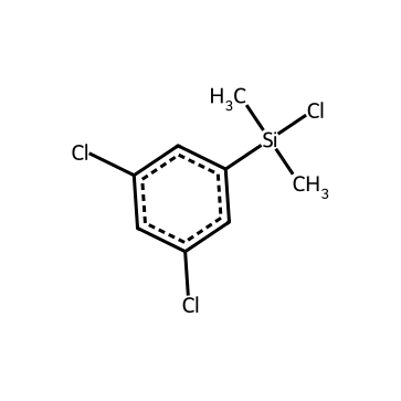 C[Si](C)(Cl)c1cc(Cl)cc(Cl)c1